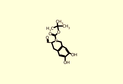 CC(C)(C)OC(=O)N1Cc2cc(O)c(O)cc2C[C@H]1[C]=O